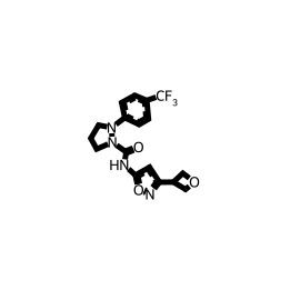 O=C(Nc1cc(C2COC2)no1)N1CCCN1c1ccc(C(F)(F)F)cc1